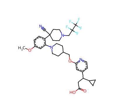 COc1ccc(C2(C#N)CCN(CC(F)(F)C(F)(F)F)CC2)c(N2CCC(COc3cc(C(CC(=O)O)C4CC4)ccn3)CC2)c1